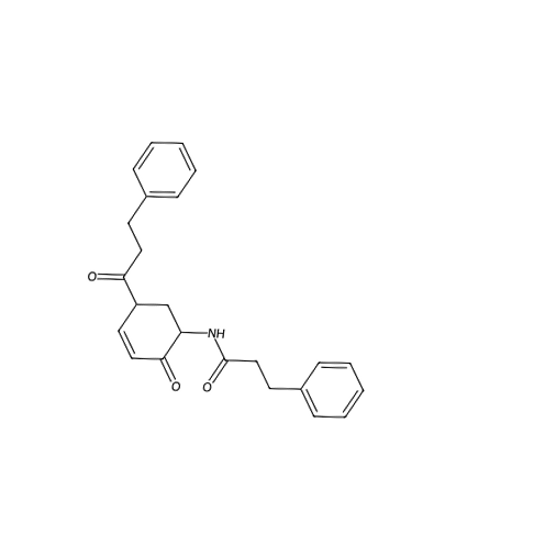 O=C(CCc1ccccc1)NC1CC(C(=O)CCc2ccccc2)C=CC1=O